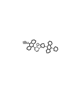 CC(C)(C)c1c2ccccc2c(C2=CC=CC3c4cc(-c5c6ccccc6c(-c6ccccc6)c6ccccc56)ccc4OC23)c2ccccc12